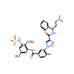 COc1c(NC(=O)c2ccc(C)c(-n3cc(C(=O)N[C@H](CCN(C)C)c4ccccc4)nn3)c2)cc(C(C)(C)C)cc1NS(C)(=O)=O